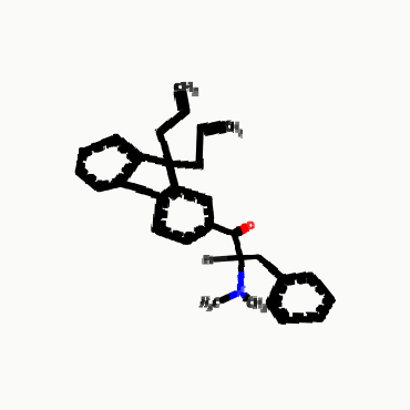 C=CCC1(CC=C)c2ccccc2-c2ccc(C(=O)C(CC)(Cc3ccccc3)N(C)C)cc21